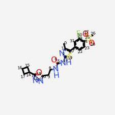 Cc1nc(NC(=O)NCCc2nnc(C3CCC3)o2)sc1-c1ccc(S(C)(=O)=O)c(F)c1